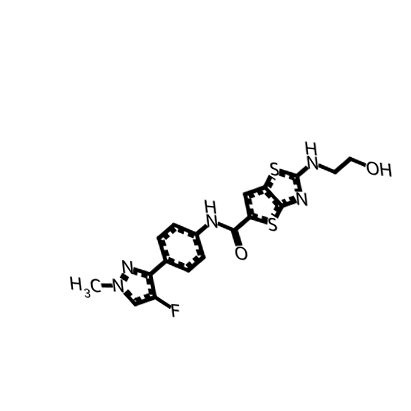 Cn1cc(F)c(-c2ccc(NC(=O)c3cc4sc(NCCO)nc4s3)cc2)n1